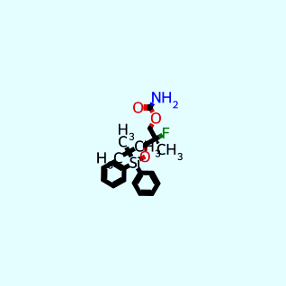 CC(C)(C)[Si](OC[C@@](C)(F)COC(N)=O)(c1ccccc1)c1ccccc1